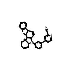 CC12CCC=CC1N(c1cccc(-c3ccnc(C#N)c3)c1)C1=C2C2Sc3ccccc3C2C#C1